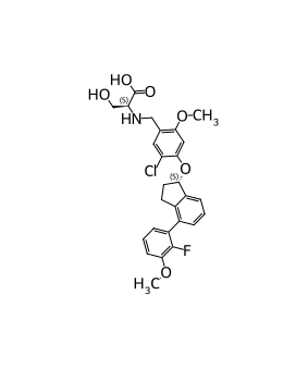 COc1cc(O[C@H]2CCc3c(-c4cccc(OC)c4F)cccc32)c(Cl)cc1CN[C@@H](CO)C(=O)O